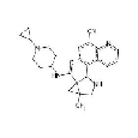 N#Cc1ccc(C2NCC3(C(F)(F)F)CC23C(=O)NC2CCN(C3CC3)CC2)c2cccnc12